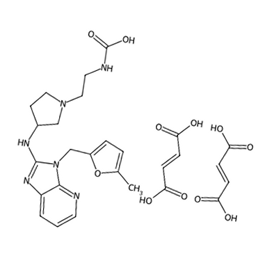 Cc1ccc(Cn2c(NC3CCN(CCNC(=O)O)C3)nc3cccnc32)o1.O=C(O)/C=C/C(=O)O.O=C(O)C=CC(=O)O